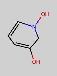 OC1=CC=CN(O)C1